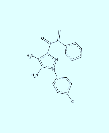 C=C(C(=O)c1nn(-c2ccc(Cl)cc2)c(N)c1N)c1ccccc1